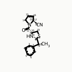 C[C@H](c1ccccc1)[C@@H]1N[C@H](C(=O)N2CC=C[C@H]2C#N)CS1